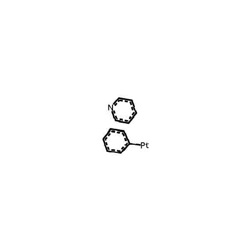 [Pt][c]1ccccc1.c1ccncc1